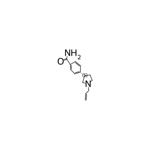 C=CCN1CC[C@@H](c2ccc(C(N)=O)cc2)C1